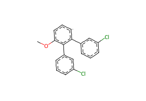 COc1cc[c]c(-c2cccc(Cl)c2)c1-c1cccc(Cl)c1